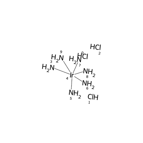 Cl.Cl.Cl.[NH2][Ir]([NH2])([NH2])([NH2])([NH2])[NH2]